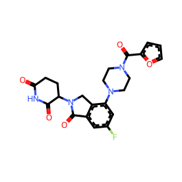 O=C1CCC(N2Cc3c(cc(F)cc3N3CCN(C(=O)c4ccco4)CC3)C2=O)C(=O)N1